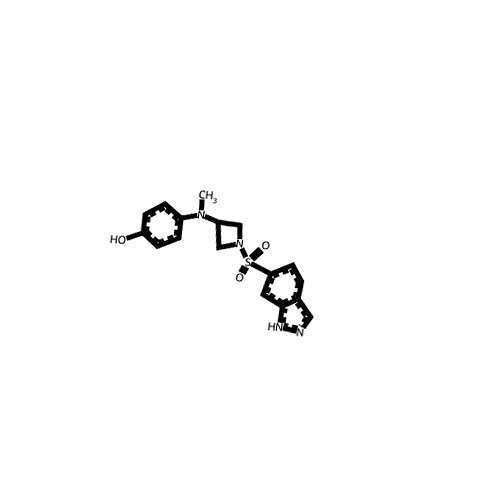 CN(c1ccc(O)cc1)C1CN(S(=O)(=O)c2ccc3cn[nH]c3c2)C1